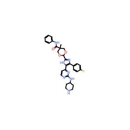 CC1(C(=O)Nc2ccccc2)COC(c2nc(-c3ccc(F)cc3)c(-c3ccnc(NC4CCNCC4)n3)[nH]2)OC1